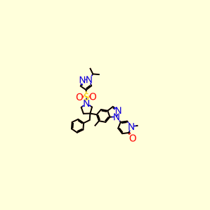 Cc1cc2c(cnn2-c2ccc(=O)n(C)c2)cc1C1(Cc2ccccc2)CCN(S(=O)(=O)c2cnn(C(C)C)c2)C1